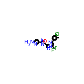 Cc1cc(-c2cc(C(F)F)n3ncc(-c4nc(-c5ccc(N)nc5)no4)c3n2)ccc1Cl